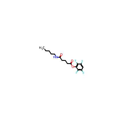 CCCCCNC(=O)CCCC(=O)Oc1c(F)c(F)cc(F)c1F